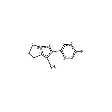 Cc1c(-c2ccc(F)cc2)cn2c1CCC2